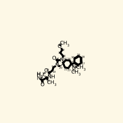 COCCCN1C(=O)N(CCC(=O)NC(C)(C)C(N)=O)C[C@]12CC[C@](c1ccccc1)(N(C)C)CC2